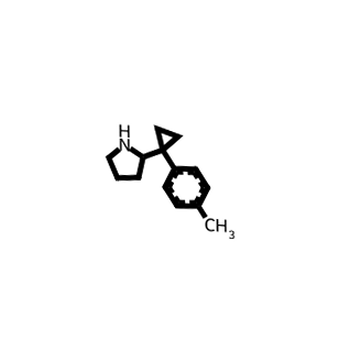 Cc1ccc(C2(C3CCCN3)CC2)cc1